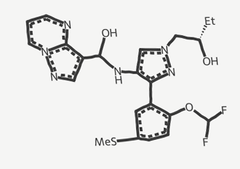 CC[C@H](O)Cn1cc(NC(O)c2cnn3cccnc23)c(-c2cc(SC)ccc2OC(F)F)n1